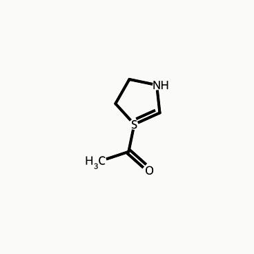 CC(=O)S1=CNCC1